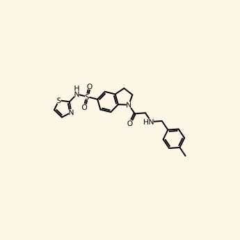 Cc1ccc(CNCC(=O)N2CCc3cc(S(=O)(=O)Nc4nccs4)ccc32)cc1